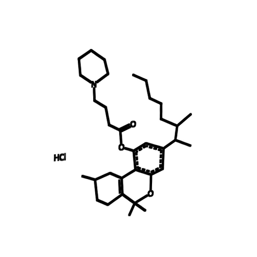 CCCCCC(C)C(C)c1cc(OC(=O)CCCN2CCCCC2)c2c(c1)OC(C)(C)C1=C2CC(C)CC1.Cl